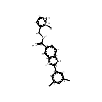 Cc1cc(C)cc(-c2nc3ccc(C(=O)OCc4ccnn4C)cc3o2)c1